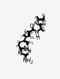 Cc1nc(C(C)NC(=O)c2cc(-c3ccc4nc(N)nn4c3)cs2)sc1C